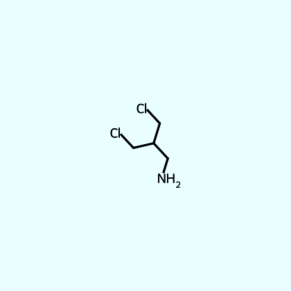 NCC(CCl)CCl